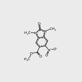 COC(=O)c1cc2c(cc1[N+](=O)[O-])n(C)c(=O)n2C